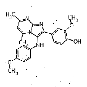 COc1ccc(Nc2c(-c3ccc(O)c(OC)c3)nc3nc(C)cc(C)n23)cc1